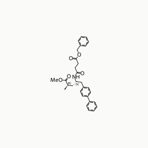 COC(=O)[C@H](C)C[C@@H](Cc1ccc(-c2ccccc2)cc1)NC(=O)CCC(=O)OCc1ccccc1